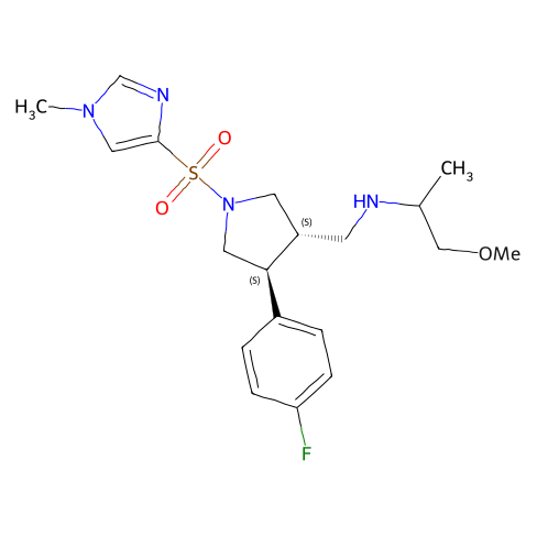 COCC(C)NC[C@H]1CN(S(=O)(=O)c2cn(C)cn2)C[C@@H]1c1ccc(F)cc1